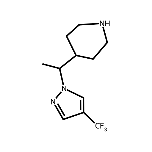 CC(C1CCNCC1)n1cc(C(F)(F)F)cn1